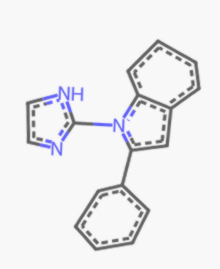 c1ccc(-c2cc3ccccc3n2-c2ncc[nH]2)cc1